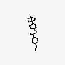 CCCC1CCC(C(=O)Oc2ccc(C(F)(F)C(F)(F)F)cc2)CC1